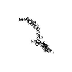 CCC(CC(C)C(=O)OCCCCOc1ccc(C(=O)Oc2ccc(OC)cc2)cc1)C(=O)OCCC(F)(F)C(F)(F)C(F)(F)C(F)(F)C(F)(F)C(F)(F)F